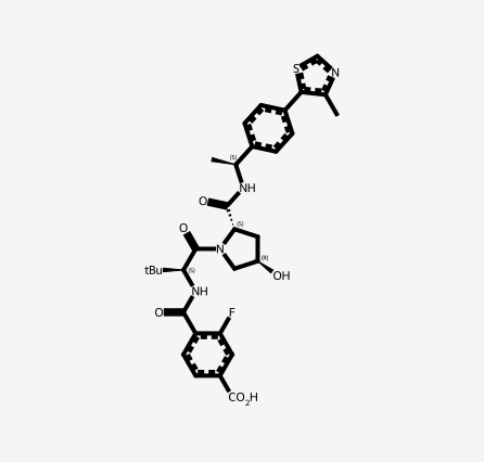 Cc1ncsc1-c1ccc([C@H](C)NC(=O)[C@@H]2C[C@@H](O)CN2C(=O)[C@@H](NC(=O)c2ccc(C(=O)O)cc2F)C(C)(C)C)cc1